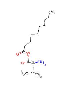 CCCCCCCCCC(=O)OC(=O)[C@@H](N)C(C)C